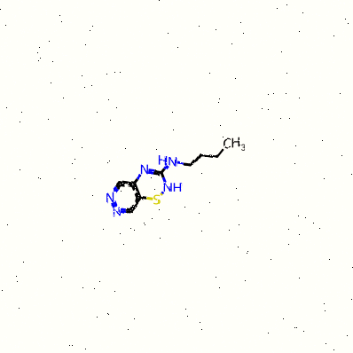 CCCCNC1=Nc2cnncc2SN1